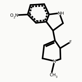 CN1CC=C(C2CNc3ccc([N+](=O)[O-])cc32)C(F)C1